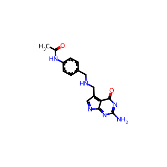 CC(=O)Nc1ccc(CNCC2=C3C(=O)N=C(N)N=C3N=C2)cc1